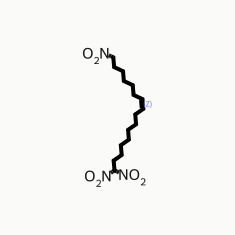 O=[N+]([O-])CCCCCC/C=C\CCCCCCCC([N+](=O)[O-])[N+](=O)[O-]